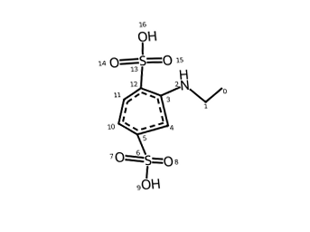 CCNc1cc(S(=O)(=O)O)ccc1S(=O)(=O)O